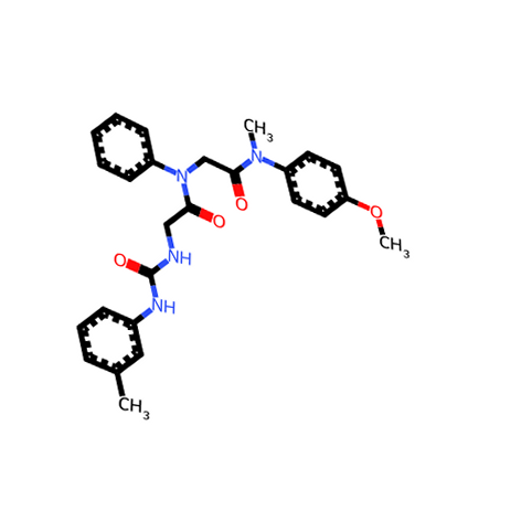 COc1ccc(N(C)C(=O)CN(C(=O)CNC(=O)Nc2cccc(C)c2)c2ccccc2)cc1